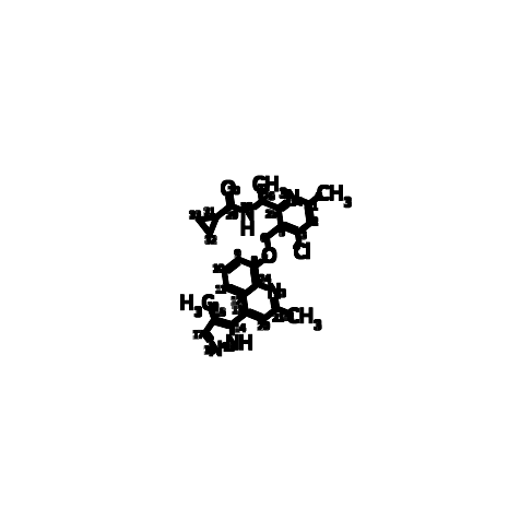 Cc1cc(Cl)c(COc2cccc3c(-c4[nH]ncc4C)cc(C)nc23)c(C(C)NC(=O)C2CC2)n1